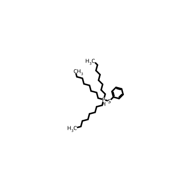 CCCCCCCC[PH](CCCCCCCC)(CCCCCCCC)Sc1ccccc1